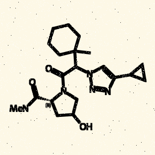 CNC(=O)[C@H]1CC(O)CN1C(=O)C(n1cc(C2CC2)nn1)C1(C)CCCCC1